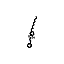 CCCCCCCCCc1ccc2[nH]c(/C=C/c3ccccc3)nc2c1